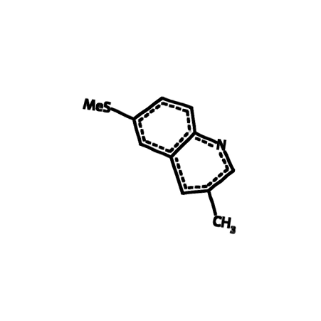 CSc1ccc2ncc(C)cc2c1